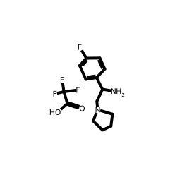 NC(CN1CCCC1)c1ccc(F)cc1.O=C(O)C(F)(F)F